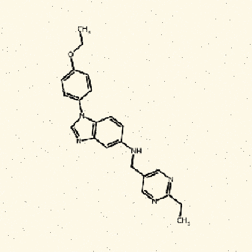 CCOc1ccc(-n2cnc3cc(NCc4cnc(CC)nc4)ccc32)cc1